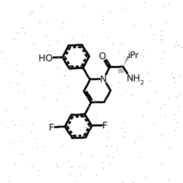 CC(C)[C@H](N)C(=O)N1CCC(c2cc(F)ccc2F)=CC1c1cccc(O)c1